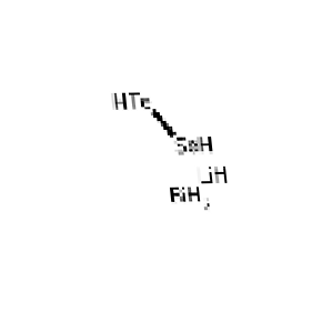 [BiH3].[LiH].[SeH][TeH]